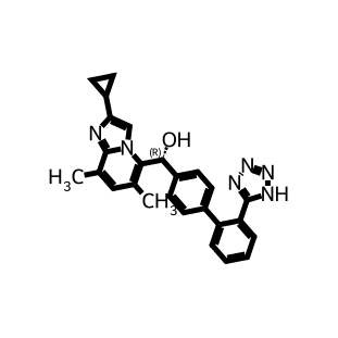 Cc1cc(C)c2nc(C3CC3)cn2c1[C@H](O)c1ccc(-c2ccccc2-c2nnn[nH]2)cc1